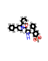 CS(=O)(=O)c1ccc(-c2ccccc2[C@@H]2CNC[C@H]2C(=O)N2CCC(c3ccccc3)CC2c2ccccc2)cc1